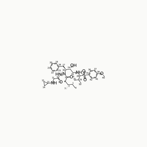 CC[C@H](C)CC(=O)N(NC(=O)CNC1CC1)[C@@H](Cc1ccccc1)[C@H](O)CNC(C(C)C)S(=O)(=O)c1ccc(OC)cc1